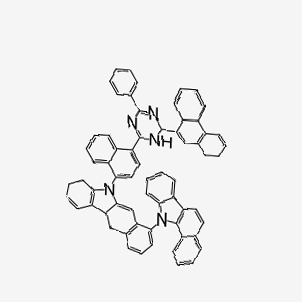 C1=CC2C(C3N=C(c4ccccc4)N=C(c4ccc(N5C6=Cc7c(cccc7-n7c8ccccc8c8ccc9ccccc9c87)CC6C6=C5CCC=C6)c5ccccc45)N3)=CC3=C(C=CCC3)C2C=C1